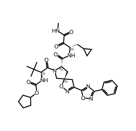 CNC(=O)C(=O)[C@H](CC1CC1)NC(=O)[C@@H]1C[C@]2(CC(c3nc(-c4ccccc4)no3)=NO2)CN1C(=O)[C@@H](NC(=O)OC1CCCC1)C(C)(C)C